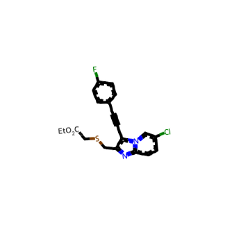 CCOC(=O)CSCc1nc2ccc(Cl)cn2c1C#Cc1ccc(F)cc1